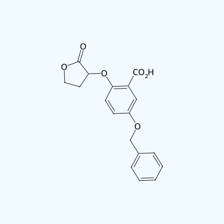 O=C(O)c1cc(OCc2ccccc2)ccc1OC1CCOC1=O